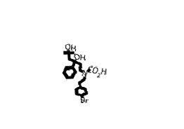 CC(C)(O)C[C@@](O)(CCN(CCc1ccc(Br)cc1)C(=O)O)c1ccccc1